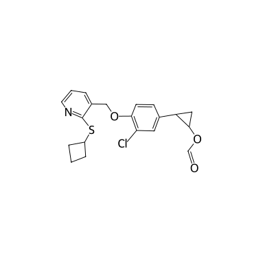 O=COC1CC1c1ccc(OCc2cccnc2SC2CCC2)c(Cl)c1